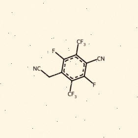 N#CCc1c(F)c(C(F)(F)F)c(C#N)c(F)c1C(F)(F)F